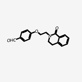 O=Cc1ccc(OCCN2CCc3ccccc3C2=O)cc1